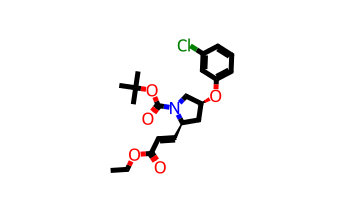 CCOC(=O)/C=C/[C@@H]1C[C@H](Oc2cccc(Cl)c2)CN1C(=O)OC(C)(C)C